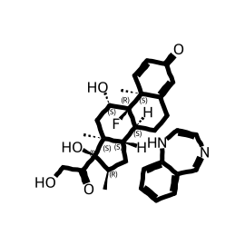 C1=CNc2ccccc2C=N1.C[C@@H]1C[C@H]2[C@@H]3CCC4=CC(=O)C=C[C@]4(C)[C@@]3(F)[C@@H](O)C[C@]2(C)[C@@]1(O)C(=O)CO